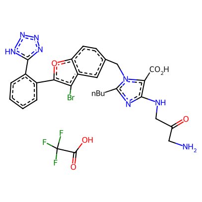 CCCCc1nc(NCC(=O)CN)c(C(=O)O)n1Cc1ccc2oc(-c3ccccc3-c3nnn[nH]3)c(Br)c2c1.O=C(O)C(F)(F)F